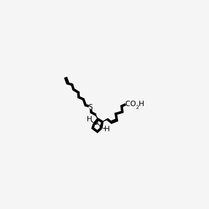 C=CCCCCCCSCC[C@H]1[C@@H](C/C=C\CCCC(=O)O)[C@H]2CC[C@@H]1O2